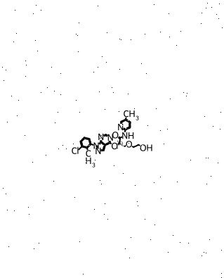 Cc1ccc(NC(=O)[C@H](COCCO)Oc2ncnc3c2cnn3-c2cccc(Cl)c2C)nc1